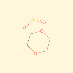 C1COCCO1.O=S=O